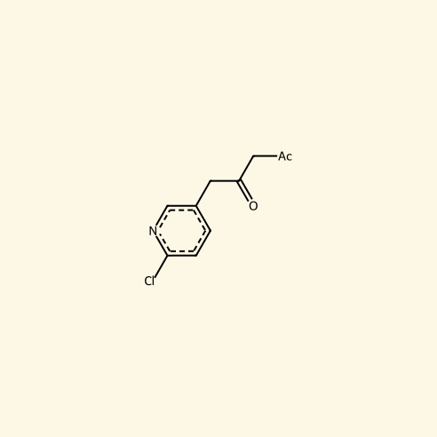 CC(=O)CC(=O)Cc1ccc(Cl)nc1